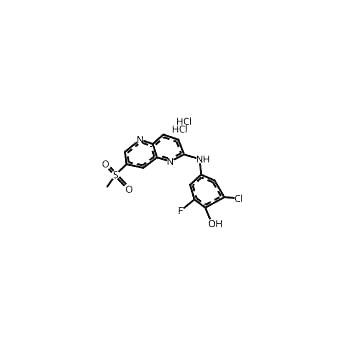 CS(=O)(=O)c1cnc2ccc(Nc3cc(F)c(O)c(Cl)c3)nc2c1.Cl.Cl